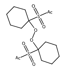 CC(=O)S(=O)(=O)C1(OOC2(S(=O)(=O)C(C)=O)CCCCC2)CCCCC1